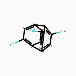 Fc1[c]c2c[c]c1-c1cc(F)c-2c(F)c1